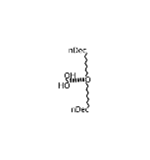 C=C.C=C.C=C.C=C.C=C.C=C.CCCCCCCCCCCCCCCCCCOCCCCCCCCCCCCCCCCCC.OCCO